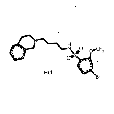 Cl.O=S(=O)(NCCCCN1CCc2ccccc2C1)c1ccc(Br)cc1OC(F)(F)F